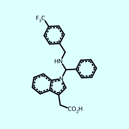 O=C(O)Cc1cn(C(NCc2ccc(C(F)(F)F)cc2)c2ccccc2)c2ccccc12